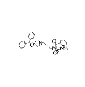 O=c1[nH]c2ccccc2c(=O)n1CCCCN1CCC(OC(c2ccccc2)c2ccccc2)CC1